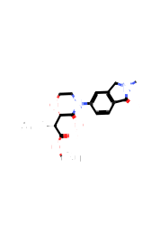 CC(=O)O[C@@H](C(=O)OC(C)(C)C)[C@H]1OCCN(c2ccc3c(c2)CN(C)C3=O)C1=O